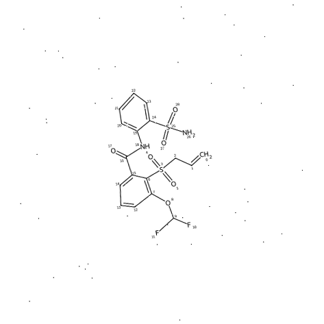 C=CCS(=O)(=O)c1c(OC(F)F)cccc1C(=O)Nc1ccccc1S(N)(=O)=O